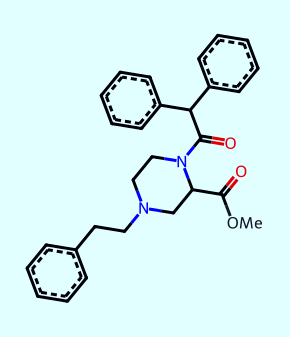 COC(=O)C1CN(CCc2ccccc2)CCN1C(=O)C(c1ccccc1)c1ccccc1